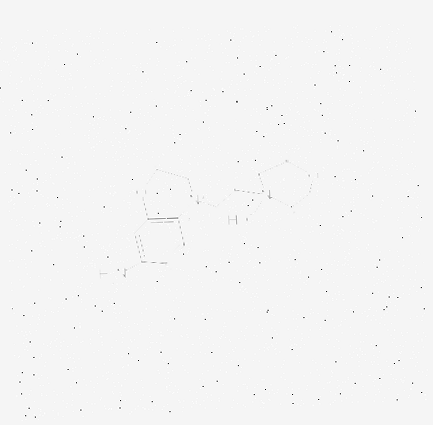 C[N+]1(CCN2CCOc3cc(N)ccc32)CCOCC1